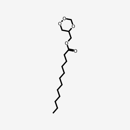 CCCCCCCCCCCC(=O)OCC1COOCO1